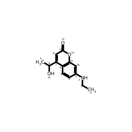 CCNc1ccc2c(C(C)O)cc(=O)oc2c1